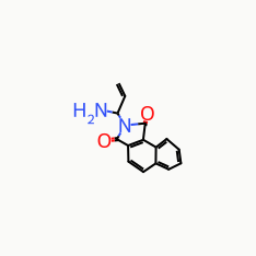 C=CC(N)N1C(=O)c2ccc3ccccc3c2C1=O